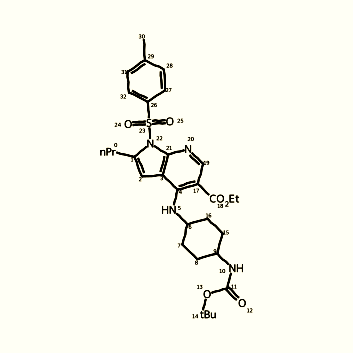 CCCc1cc2c(NC3CCC(NC(=O)OC(C)(C)C)CC3)c(C(=O)OCC)cnc2n1S(=O)(=O)c1ccc(C)cc1